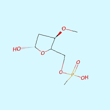 CO[C@@H]1C[C@@H](O)OC1COP(C)(=O)O